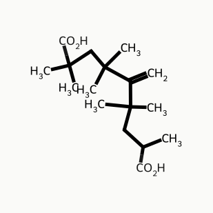 C=C(C(C)(C)CC(C)C(=O)O)C(C)(C)CC(C)(C)C(=O)O